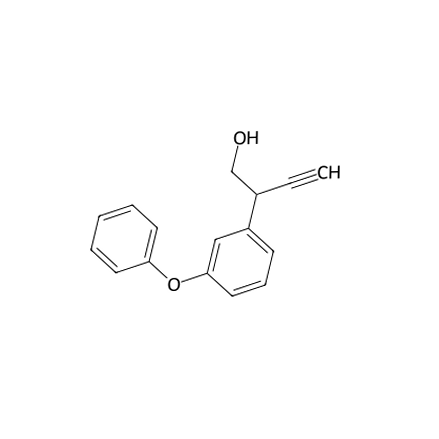 C#CC(CO)c1cccc(Oc2ccccc2)c1